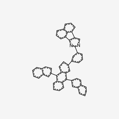 c1cc(-c2ccc3c(-c4ccc5ccccc5c4)c4ccccc4c(-c4ccc5ccccc5c4)c3c2)cc(-c2ncc3c(n2)-c2cccc4cccc-3c24)c1